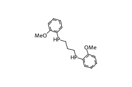 COc1ccccc1PCCCPc1ccccc1OC